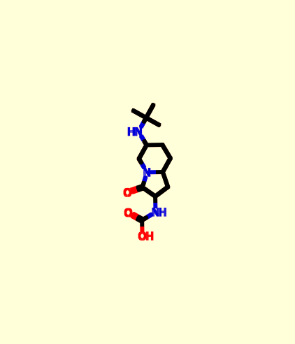 CC(C)(C)NC1CCC2CC(NC(=O)O)C(=O)N2C1